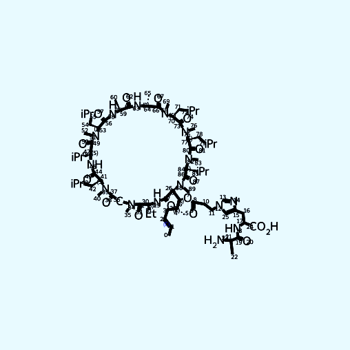 C/C=C/C[C@@H](C)[C@@H](OC(=O)CCn1cnc(CC(NC(=O)C(C)N)C(=O)O)c1)[C@H]1C(=O)N[C@@H](CC)C(=O)N(C)CC(=O)N(C)[C@@H](CC(C)C)C(=O)N[C@@H](C(C)C)C(=O)N(C)[C@@H](CC(C)C)C(=O)N[C@@H](C)C(=O)N[C@H](C)C(=O)N(C)[C@@H](CC(C)C)C(=O)N(C)[C@@H](CC(C)C)C(=O)N(C)[C@@H](C(C)C)C(=O)N1C